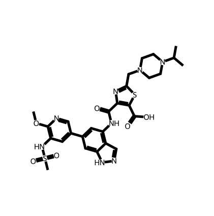 COc1ncc(-c2cc(NC(=O)c3nc(CN4CCN(C(C)C)CC4)sc3C(=O)O)c3cn[nH]c3c2)cc1NS(C)(=O)=O